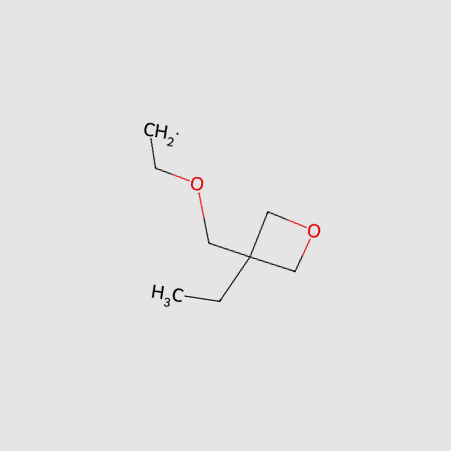 [CH2]COCC1(CC)COC1